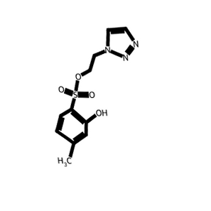 Cc1ccc(S(=O)(=O)OCCn2ccnn2)c(O)c1